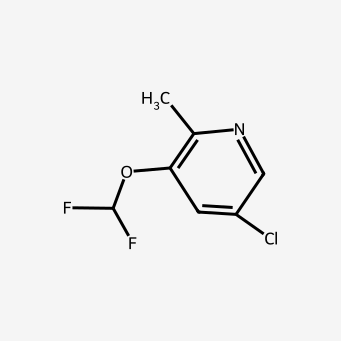 Cc1ncc(Cl)cc1OC(F)F